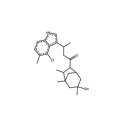 Cc1ccc2[nH]cc(C(C)CC(=O)N3C4CC(C)(O)CC(C)(C4)C3C)c2c1Cl